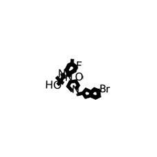 CO[C@@H]1CN(CC2Cc3ccc(Br)cc3C2)CC[C@H]1n1c(C(C)(C)O)nc2cc(C)c(F)cc21